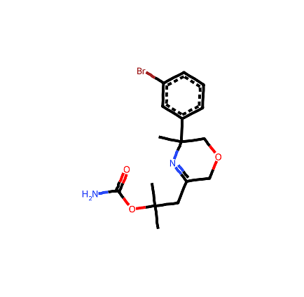 CC(C)(CC1=NC(C)(c2cccc(Br)c2)COC1)OC(N)=O